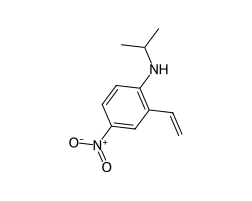 C=Cc1cc([N+](=O)[O-])ccc1NC(C)C